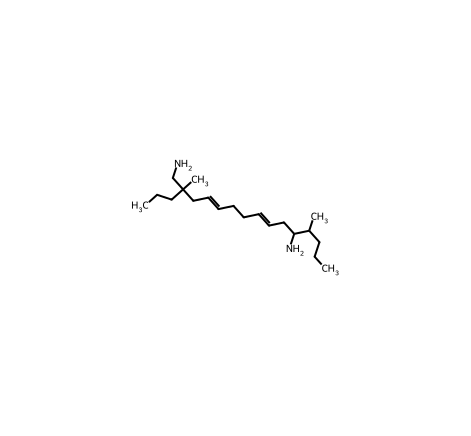 CCCC(C)C(N)CC=CCCC=CCC(C)(CN)CCC